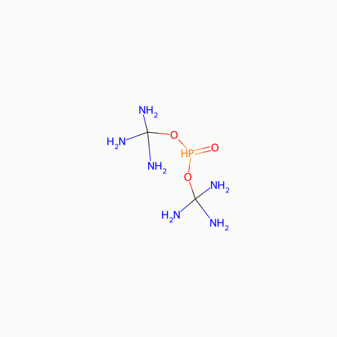 NC(N)(N)O[PH](=O)OC(N)(N)N